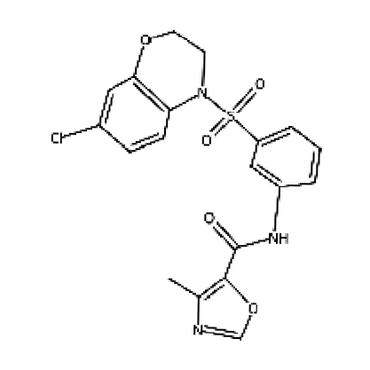 Cc1ncoc1C(=O)Nc1cccc(S(=O)(=O)N2CCOc3cc(Cl)ccc32)c1